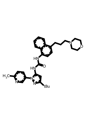 Cc1ccc(-n2nc(C(C)(C)C)cc2NC(=O)Nc2ccc(CCCN3CCOCC3)c3ccccc23)cn1